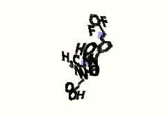 CC1=NN(CCCC(=O)O)C(=O)/C1=N\Nc1cccc(/C=C/c2c(F)cccc2F)c1O